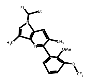 CCC(CC)n1cc(C)c2nc(-c3cccc(OC(F)(F)F)c3OC)c(C)cc21